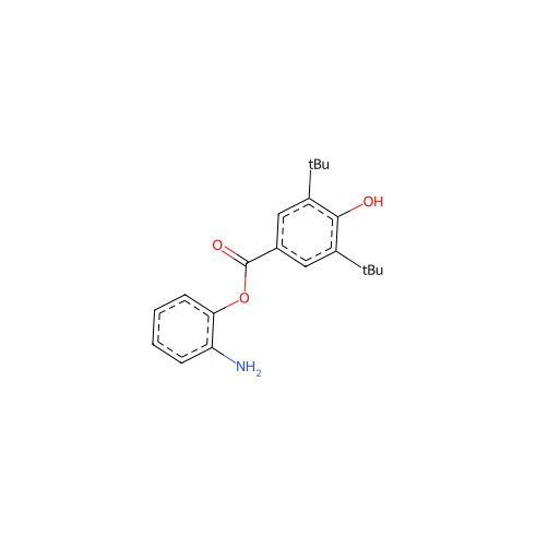 CC(C)(C)c1cc(C(=O)Oc2ccccc2N)cc(C(C)(C)C)c1O